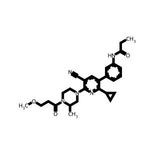 CCC(=O)Nc1cccc(-c2cc(C#N)c(N3CCN(C(=O)CCOC)C(C)C3)nc2C2CC2)c1